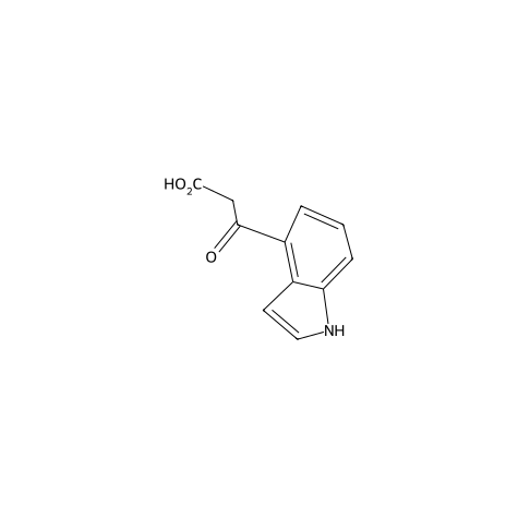 O=C(O)CC(=O)c1cccc2[nH]ccc12